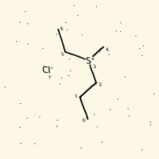 CCC[S+](C)CC.[Cl-]